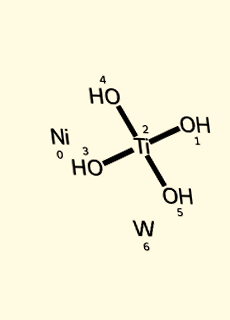 [Ni].[OH][Ti]([OH])([OH])[OH].[W]